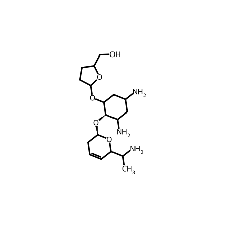 CC(N)C1C=CC[C@@H](O[C@@H]2C(N)CC(N)CC2OC2CCC(CO)O2)O1